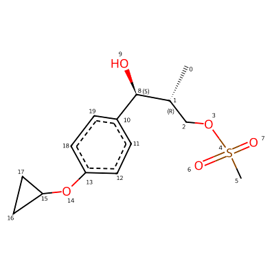 C[C@H](COS(C)(=O)=O)[C@H](O)c1ccc(OC2CC2)cc1